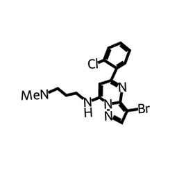 CNCCCNc1cc(-c2ccccc2Cl)nc2c(Br)cnn12